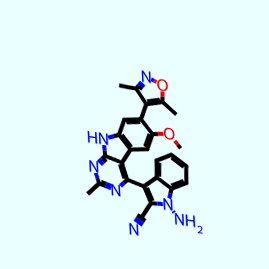 COc1cc2c(cc1-c1c(C)noc1C)[nH]c1nc(C)nc(-c3c(C#N)n(N)c4ccccc34)c12